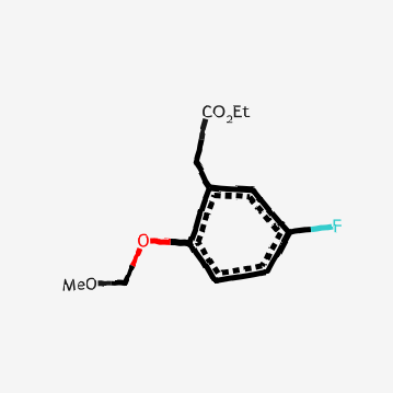 CCOC(=O)Cc1cc(F)ccc1OCOC